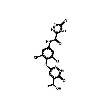 CC(O)c1cc(Oc2c(Cl)cc(NC(=O)c3noc(=O)[nH]3)cc2Cl)n[nH]c1=O